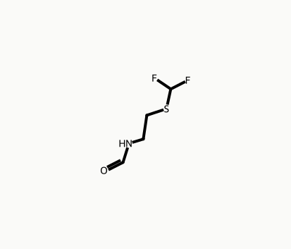 O=CNCCSC(F)F